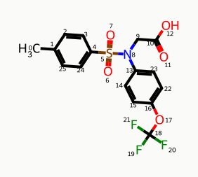 Cc1ccc(S(=O)(=O)N(CC(=O)O)c2ccc(OC(F)(F)F)cc2)cc1